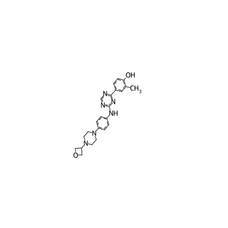 Cc1cc(-c2ncnc(Nc3ccc(N4CCN(C5COC5)CC4)cc3)n2)ccc1O